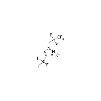 F[B-](F)(F)c1cnn(CC(F)(F)C(F)(F)F)c1.[K+]